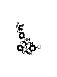 CC(Oc1ccccc1Oc1cnc2cc(Cl)ccc2n1)C(=O)Nc1ccc(OC(F)(F)C(F)F)cc1